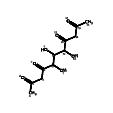 CC(=O)CC(=O)C(O)C(O)C(O)C(=O)CC(C)=O